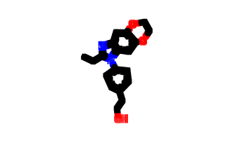 CCc1nc2cc3c(cc2n1-c1ccc(CCO)cc1)OCCO3